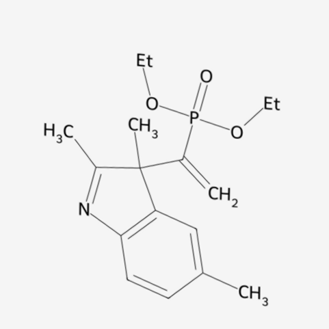 C=C(C1(C)C(C)=Nc2ccc(C)cc21)P(=O)(OCC)OCC